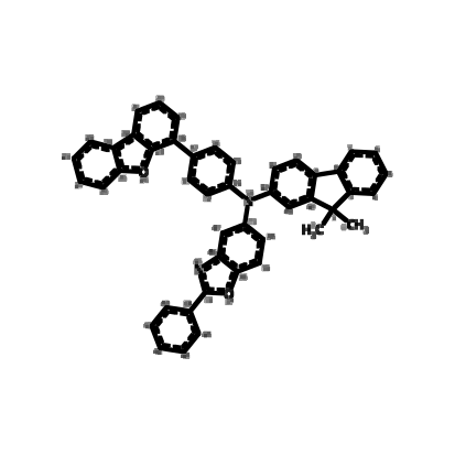 CC1(C)c2ccccc2-c2ccc(N(c3ccc(-c4cccc5c4oc4ccccc45)cc3)c3ccc4oc(-c5ccccc5)nc4c3)cc21